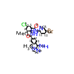 COc1cc(Cl)cc(C(=O)Nc2ccc(Br)cn2)c1NC(=O)c1ccc(C(=N)C2=NCCN2C)cc1